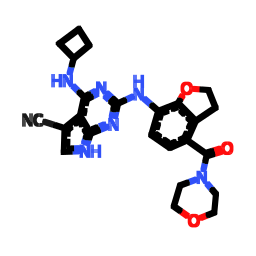 N#Cc1c[nH]c2nc(Nc3ccc(C(=O)N4CCOCC4)c4c3OCC4)nc(NC3CCC3)c12